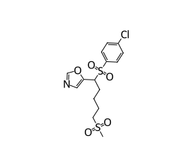 CS(=O)(=O)CCCCC(c1cnco1)S(=O)(=O)c1ccc(Cl)cc1